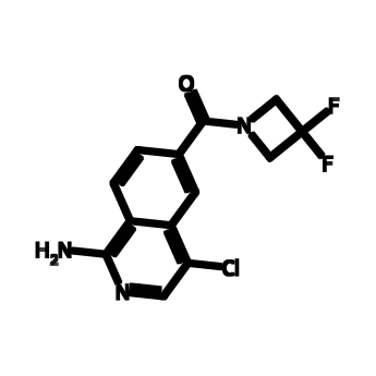 Nc1ncc(Cl)c2cc(C(=O)N3CC(F)(F)C3)ccc12